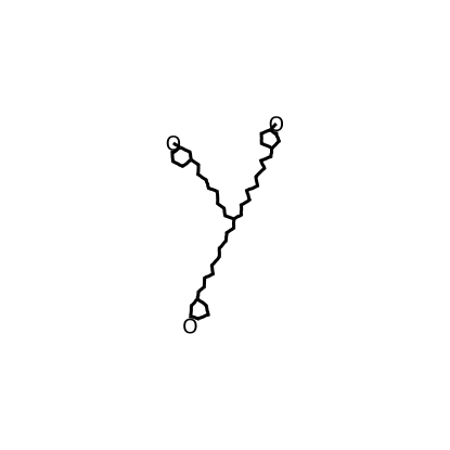 C(CCCCCC1CCC2OC2C1)CCCCC(CCCCCCCCCC1CCC2OC2C1)CCCCCCCCC1CCC2OC2C1